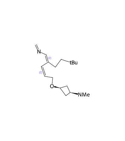 C=N/C=C(\C=C/CO[C@H]1C[C@@H](NC)C1)CCC(C)(C)C